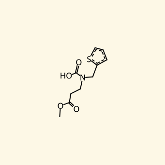 COC(=O)CCN(Cc1cccs1)C(=O)O